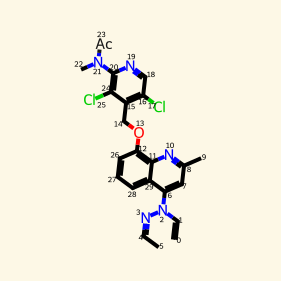 C=CN(/N=C\C)c1cc(C)nc2c(OCc3c(Cl)cnc(N(C)C(C)=O)c3Cl)cccc12